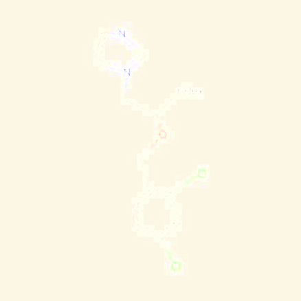 CCCCCCC(Cn1ccnc1)OCc1ccc(Cl)cc1Cl